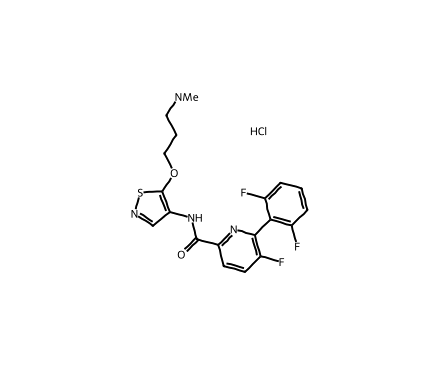 CNCCCOc1sncc1NC(=O)c1ccc(F)c(-c2c(F)cccc2F)n1.Cl